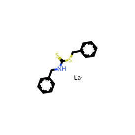 S=C(NCc1ccccc1)SCc1ccccc1.[La]